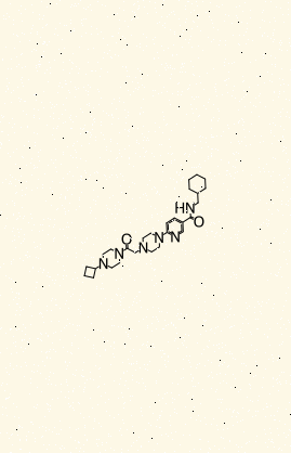 O=C(NCC1CCCCC1)c1ccc(N2CCN(CC(=O)N3CCN(C4CCC4)CC3)CC2)nc1